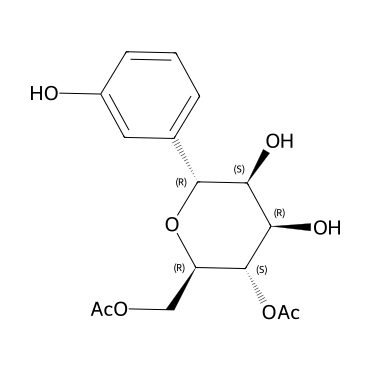 CC(=O)OC[C@H]1O[C@H](c2cccc(O)c2)[C@@H](O)[C@@H](O)[C@@H]1OC(C)=O